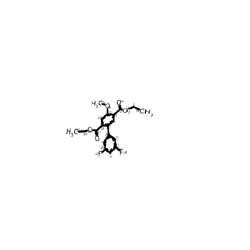 CCOC(=O)c1cc(-c2cc(F)cc(F)c2)c(C(=O)OCC)cc1OC